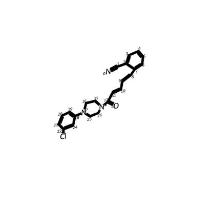 N#Cc1ccccc1C=CC=CC(=O)N1CCN(c2cccc(Cl)c2)CC1